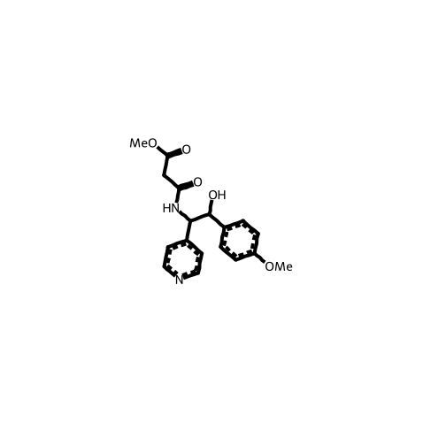 COC(=O)CC(=O)NC(c1ccncc1)C(O)c1ccc(OC)cc1